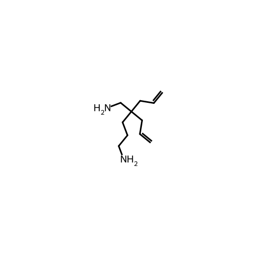 C=CCC(CN)(CC=C)CCCN